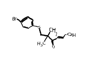 CC(C)(CSc1ccc(Br)cc1)C(=O)C=CO